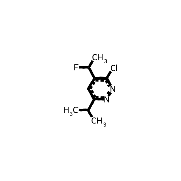 CC(C)c1cc(C(C)F)c(Cl)nn1